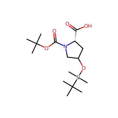 CC(C)(C)OC(=O)N1CC(O[Si](C)(C)C(C)(C)C)C[C@H]1C(=O)O